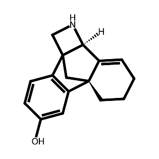 Oc1ccc2c(c1)[C@@]13CCCC=C1[C@@H]1NCC21C3